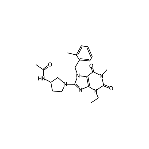 CCn1c(=O)n(C)c(=O)c2c1nc(N1CCC(NC(C)=O)C1)n2Cc1ccccc1C